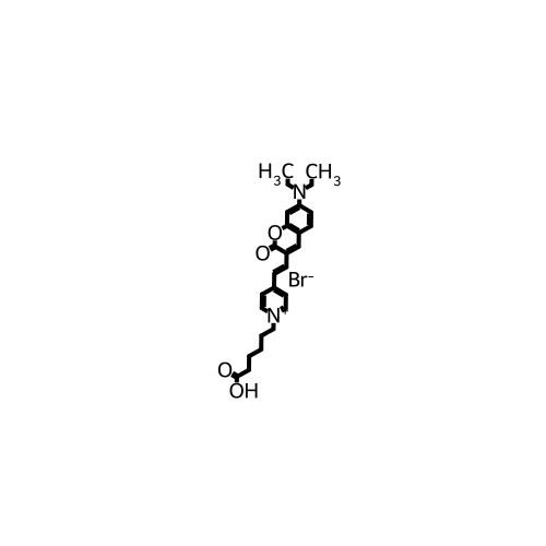 CCN(CC)c1ccc2cc(/C=C/c3cc[n+](CCCCCC(=O)O)cc3)c(=O)oc2c1.[Br-]